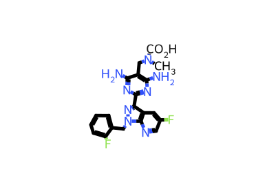 CN(Cc1c(N)nc(-c2nn(Cc3ccccc3F)c3ncc(F)cc23)nc1N)C(=O)O